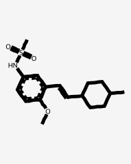 COc1ccc(NS(C)(=O)=O)cc1C=CC1CCC(C)CC1